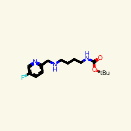 CC(C)(C)OC(=O)NCCCCNCc1ccc(F)cn1